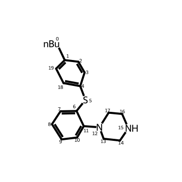 CCCCc1ccc(Sc2ccccc2N2CCNCC2)cc1